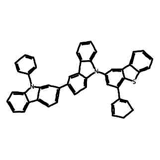 C1=CC(c2cc(-n3c4ccccc4c4cc(-c5ccc6c7ccccc7n(-c7ccccc7)c6c5)ccc43)cc3c2sc2ccccc23)=CCC1